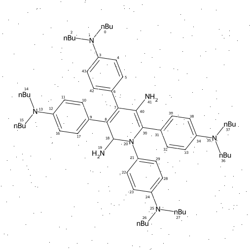 CCCCN(CCCC)c1ccc(C2=C(c3ccc(N(CCCC)CCCC)cc3)C(N)N(c3ccc(N(CCCC)CCCC)cc3)C(c3ccc(N(CCCC)CCCC)cc3)=C2N)cc1